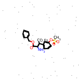 CCOC(=O)C(c1cccc(OS(C)(=O)=O)c1)C(N)C(=O)OCc1ccccc1